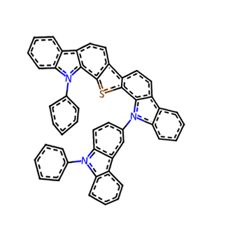 c1ccc(-n2c3ccccc3c3cc(-n4c5ccccc5c5ccc6c7ccc8c9ccccc9n(-c9ccccc9)c8c7sc6c54)ccc32)cc1